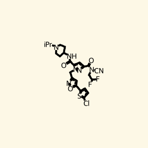 CC(C)N1CCC(NC(=O)c2cc(C(=O)N(C#N)CC(F)F)nn2Cc2cc(-c3ccc(Cl)s3)on2)CC1